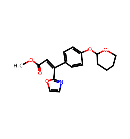 COC(=O)C=C(c1ccc(OC2CCCCO2)cc1)c1ncco1